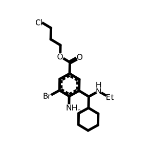 CCNC(c1cc(C(=O)OCCCCl)cc(Br)c1N)C1CCCCC1